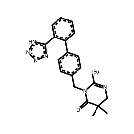 CCCCC1=NCC(C)(C)C(=O)N1Cc1ccc(-c2ccccc2-c2nnn[nH]2)cc1